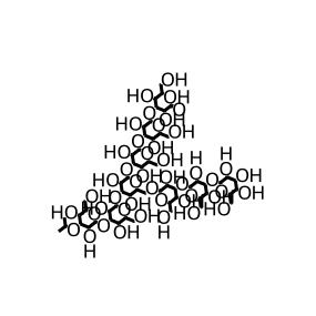 CC(C)OC1C(O)C(CO)OC(OC2C(O)C(CO)OC(OC3C(O)C(COC4OC(CO)C(O)C(OC5OC(CO)C(O)C(OC6OC(CO)C(O)C(O)C6O)C5O)C4O)OC(OC4C(O)C(CO)OC(OC5C(O)C(CO)OC(OC(C(O)C=O)C(O)C(O)CO)C5O)C4O)C3O)C2O)C1O